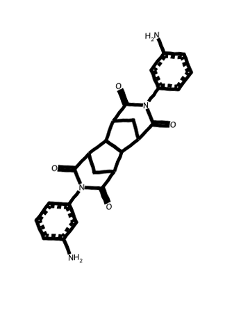 Nc1cccc(N2C(=O)C3CC(C2=O)C2C4CC(C(=O)N(c5cccc(N)c5)C4=O)C32)c1